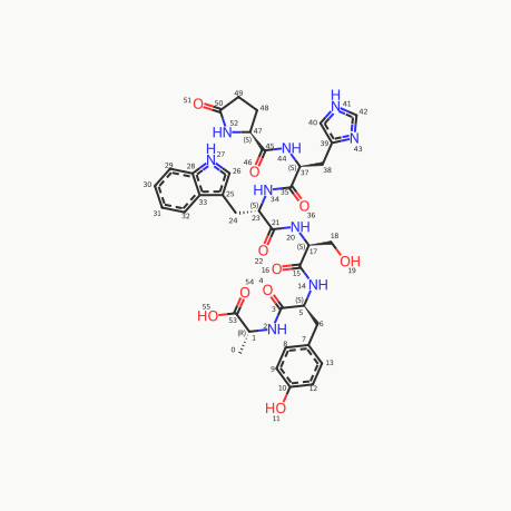 C[C@@H](NC(=O)[C@H](Cc1ccc(O)cc1)NC(=O)[C@H](CO)NC(=O)[C@H](Cc1c[nH]c2ccccc12)NC(=O)[C@H](Cc1c[nH]cn1)NC(=O)[C@@H]1CCC(=O)N1)C(=O)O